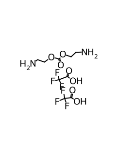 NCCOC(=O)OCCN.O=C(O)C(F)(F)F.O=C(O)C(F)(F)F